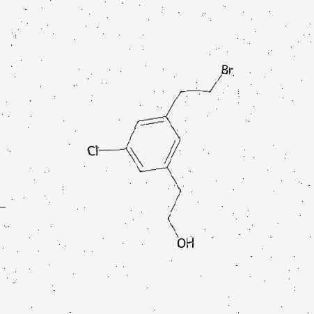 OCCc1cc(Cl)cc(CCBr)c1